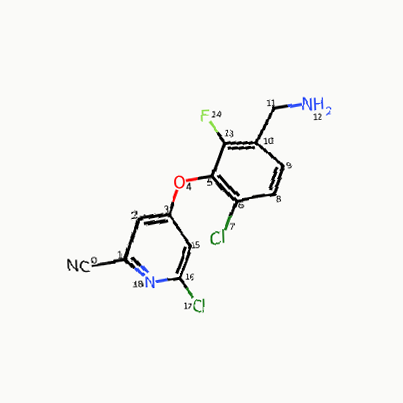 N#Cc1cc(Oc2c(Cl)ccc(CN)c2F)cc(Cl)n1